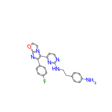 Nc1ccc(CCNc2nccc(-c3c(-c4ccc(F)cc4)nc4occn34)n2)cc1